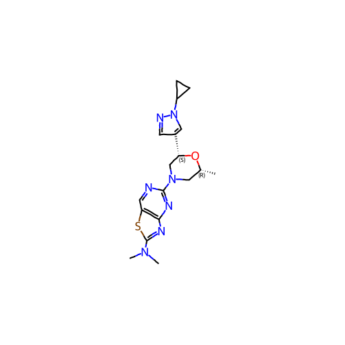 C[C@@H]1CN(c2ncc3sc(N(C)C)nc3n2)C[C@H](c2cnn(C3CC3)c2)O1